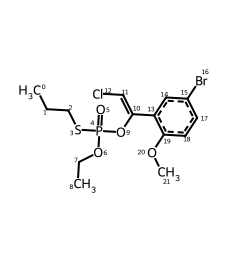 CCCSP(=O)(OCC)OC(=CCl)c1cc(Br)ccc1OC